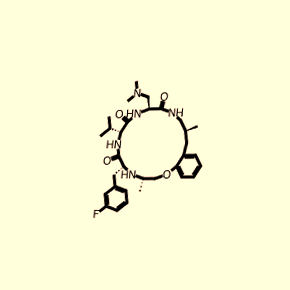 CC(C)[C@H]1NC(=O)[C@@H](Cc2cccc(F)c2)N[C@@H](C)COc2ccccc2C[C@H](C)CNC(=O)[C@H](CN(C)C)NC1=O